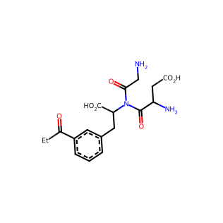 CCC(=O)c1cccc(CC(C(=O)O)N(C(=O)CN)C(=O)C(N)CC(=O)O)c1